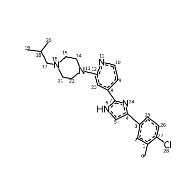 Cc1cc(-c2c[nH]c(-c3ccnc(N4CCN(CC(C)C)CC4)c3)n2)ccc1Cl